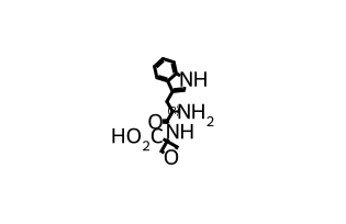 N[C@H](Cc1c[nH]c2ccccc12)C(=O)NC1(C(=O)O)COC1